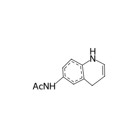 CC(=O)Nc1ccc2c(c1)CC=CN2